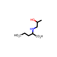 CC(O)CNC(CCC(=O)O)C(=O)O